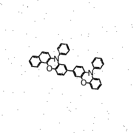 c1ccc(N2c3ccccc3Oc3cc(-c4ccc5c(c4)N(c4ccccc4)c4ccc6ccccc6c4O5)ccc32)cc1